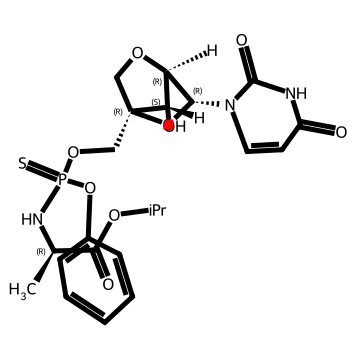 CC(C)OC(=O)[C@@H](C)NP(=S)(OC[C@@]12CO[C@@H]([C@H](n3ccc(=O)[nH]c3=O)O1)[C@@H]2O)Oc1ccccc1